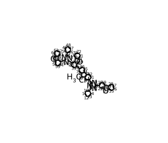 CC1(C)c2cc(-c3nc(-c4ccccc4)nc(-c4ccc5c(c4)oc4ccccc45)n3)ccc2-c2ccc(-c3ccc(-c4nc(-c5ccccc5)nc(-c5cccc6oc7ccccc7c56)n4)c4c3oc3ccccc34)cc21